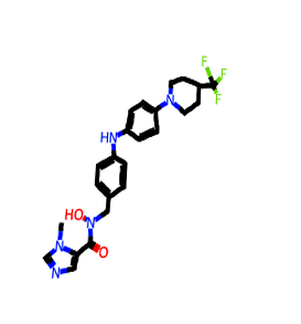 Cn1cncc1C(=O)N(O)Cc1ccc(Nc2ccc(N3CCC(C(F)(F)F)CC3)cc2)cc1